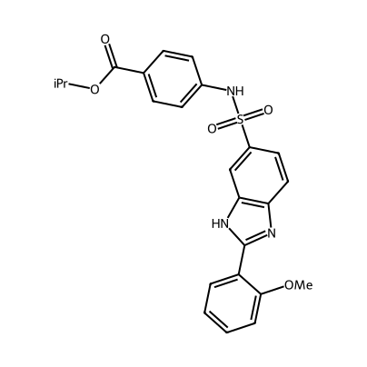 COc1ccccc1-c1nc2ccc(S(=O)(=O)Nc3ccc(C(=O)OC(C)C)cc3)cc2[nH]1